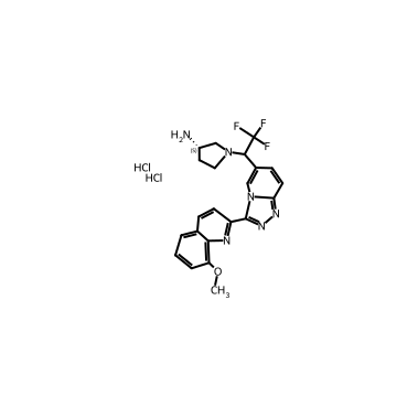 COc1cccc2ccc(-c3nnc4ccc(C(N5CC[C@H](N)C5)C(F)(F)F)cn34)nc12.Cl.Cl